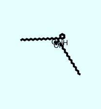 CCCCCCCCCCCCCCCCCCN[C@H](C(=O)O)C(CCCCCCCCCCCCCCCCCC)c1ccccc1